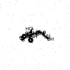 CC(C)CN(C(O)(CCNC(=O)CC(C)(C)CNC(=O)CNCCO)Cc1ccccc1)S(=O)(=O)c1ccc2c(c1)OCO2.Cl